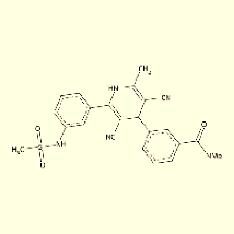 CNC(=O)c1cccc(C2C(C#N)=C(C)NC(c3cccc(NS(C)(=O)=O)c3)=C2C#N)c1